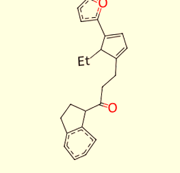 CCC1C(CCC(=O)C2CCc3ccccc32)=CC=C1c1ccco1